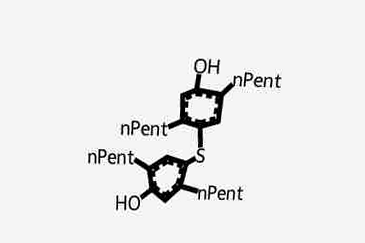 CCCCCc1cc(Sc2cc(CCCCC)c(O)cc2CCCCC)c(CCCCC)cc1O